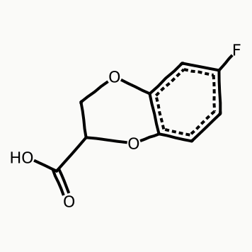 O=C(O)C1COc2cc(F)ccc2O1